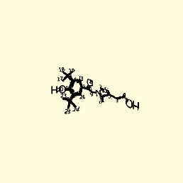 Cc1c(CCO)sc[n+]1CC(=O)c1cc(C(C)(C)C)c(O)c(C(C)(C)C)c1